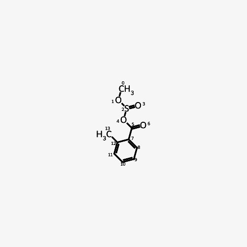 COS(=O)OC(=O)c1ccccc1C